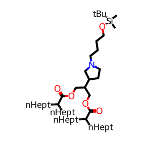 CCCCCCCC(CCCCCCC)C(=O)OCC(COC(=O)C(CCCCCCC)CCCCCCC)C1CCN(CCCCO[Si](C)(C)C(C)(C)C)C1